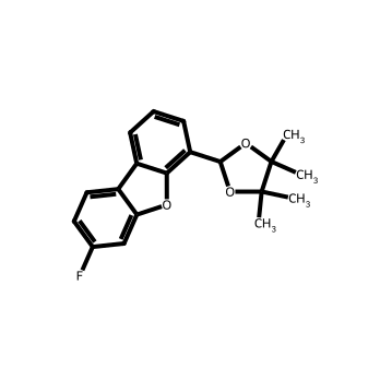 CC1(C)OC(c2cccc3c2oc2cc(F)ccc23)OC1(C)C